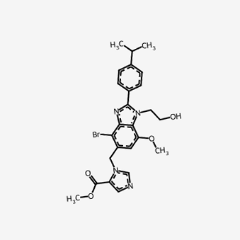 COC(=O)c1cncn1Cc1cc(OC)c2c(nc(-c3ccc(C(C)C)cc3)n2CCO)c1Br